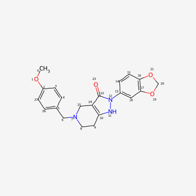 COc1ccc(CN2CCc3[nH]n(-c4ccc5c(c4)OCO5)c(=O)c3C2)cc1